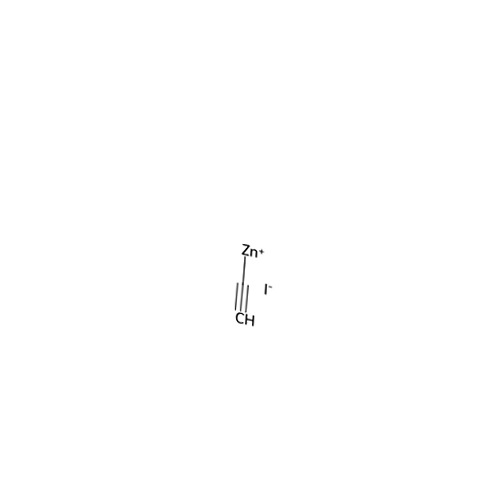 C#[C][Zn+].[I-]